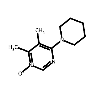 Cc1c(N2CCCCC2)nc[n+]([O-])c1C